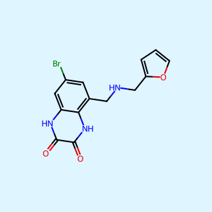 O=c1[nH]c2cc(Br)cc(CNCc3ccco3)c2[nH]c1=O